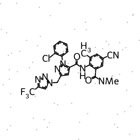 CNC(=O)c1cc(C#N)cc(C)c1NC(=O)c1cc(Cn2cc(C(F)(F)F)nn2)nn1-c1ccccc1Cl